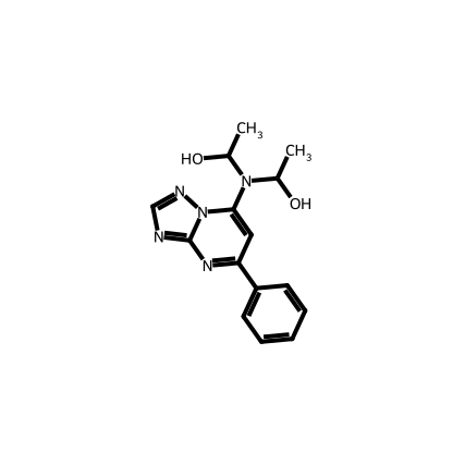 CC(O)N(c1cc(-c2ccccc2)nc2ncnn12)C(C)O